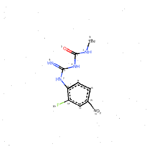 CC(C)(C)NC(=O)NC(=N)Nc1ccc([N+](=O)[O-])cc1F